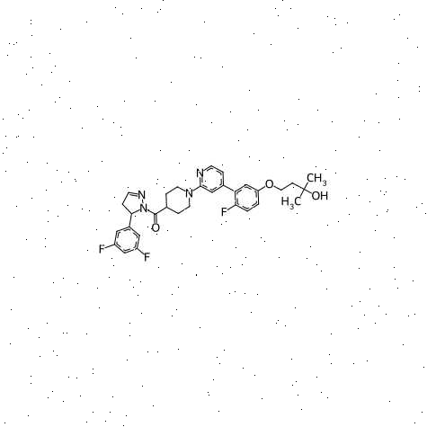 CC(C)(O)CCOc1ccc(F)c(-c2ccnc(N3CCC(C(=O)N4N=CCC4c4cc(F)cc(F)c4)CC3)c2)c1